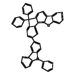 c1ccc(-n2c3ccccc3c3cc(-c4ccc5c(c4)-c4c(ccc6c4oc4ccccc46)C5(c4ccccc4)c4ccccc4)ccc32)cc1